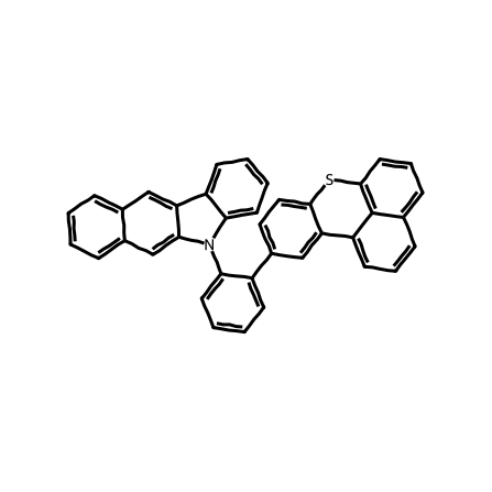 c1ccc(-n2c3ccccc3c3cc4ccccc4cc32)c(-c2ccc3c(c2)-c2cccc4cccc(c24)S3)c1